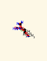 Cc1c(OCCCN2CCC2(C)C)cccc1-c1cccc2c1CC[C@@H]2Oc1cc(OCc2cc(C#N)cc(C#N)c2)c(CN[C@H]2CCC(=O)NC2)cc1Cl